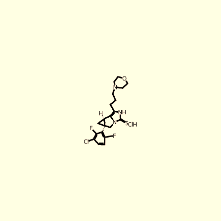 Cl.Fc1ccc(Cl)c(F)c1[C@]12C[C@H]1c1c(CCCN3CCOCC3)[nH]c(=S)n1C2